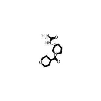 NC(=O)N[C@@H]1CCCN(C(=O)C2CCOCC2)C1